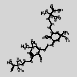 CC1(C)C=C(CCCC2=CC(C)(C)C=C(CCCC(C)(C)C(=O)O)C2=O)C(=O)C(CCCC(C)(C)C(=O)O)=C1